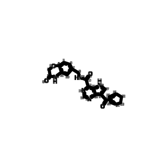 O=C1COc2ccc(CNC(=O)c3ncnc4c(C(=O)N5C6CCC5CC6)c[nH]c34)cc2N1